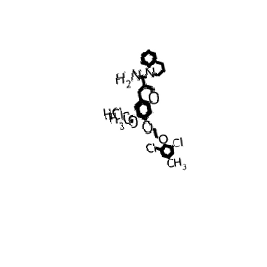 COc1cc(CC(C=O)C(N)N2CCCc3ccccc32)ccc1OCCOc1c(Cl)cc(C)cc1Cl.Cl